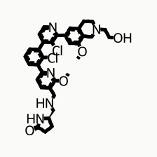 COc1cc(-c2nccc(-c3cccc(-c4ccc(CNC[C@H]5CCC(=O)N5)c(OC)n4)c3Cl)c2Cl)cc2c1CN(CCO)CC2